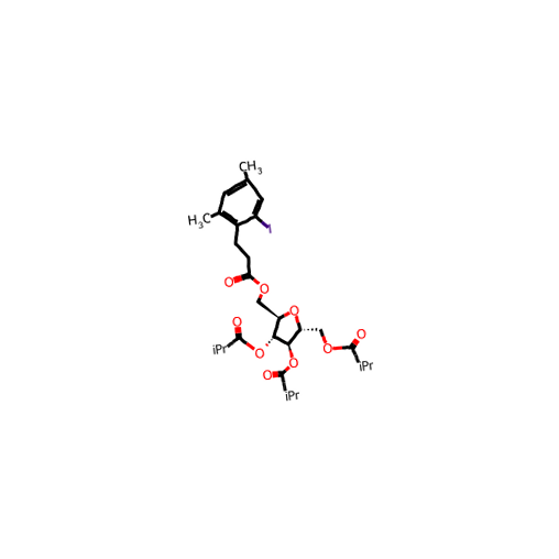 Cc1cc(C)c(CCC(=O)OC[C@H]2O[C@H](COC(=O)C(C)C)[C@@H](OC(=O)C(C)C)[C@@H]2OC(=O)C(C)C)c(I)c1